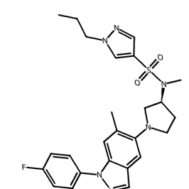 CCCn1cc(S(=O)(=O)N(C)[C@H]2CCN(c3cc4cnn(-c5ccc(F)cc5)c4cc3C)C2)cn1